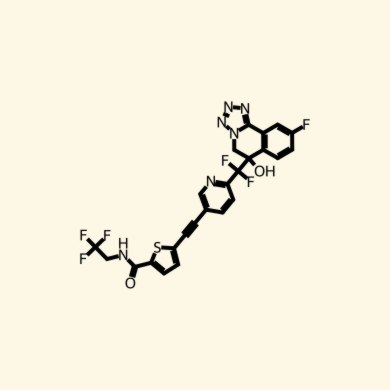 O=C(NCC(F)(F)F)c1ccc(C#Cc2ccc(C(F)(F)C3(O)Cn4nnnc4-c4cc(F)ccc43)nc2)s1